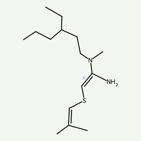 CCCC(CC)CCN(C)/C(N)=C/SC=C(C)C